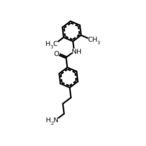 Cc1cccc(C)c1NC(=O)c1ccc(CCCN)cc1